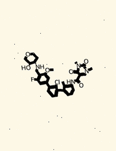 COc1cc(-c2cccc(-c3cccc(NC(=O)c4cn(C)c(=O)n(C)c4=O)c3C)c2Cl)cc(F)c1CN[C@H]1CCOC[C@@H]1O